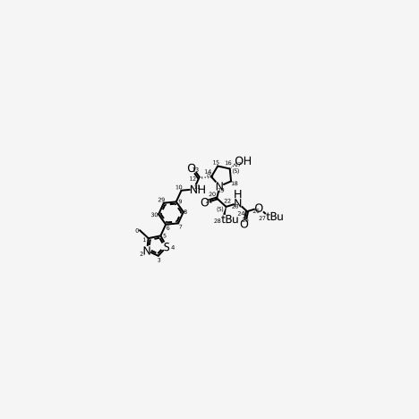 Cc1ncsc1-c1ccc(CNC(=O)[C@@H]2C[C@H](O)CN2C(=O)[C@@H](NC(=O)OC(C)(C)C)C(C)(C)C)cc1